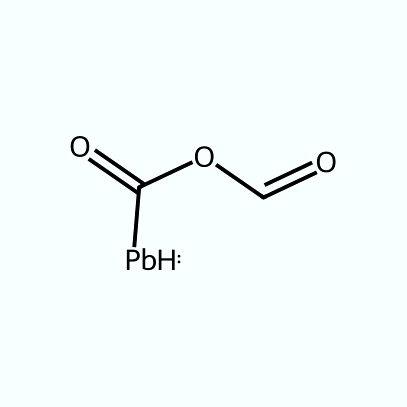 O=CO[C](=O)[PbH]